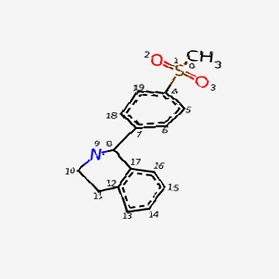 CS(=O)(=O)c1ccc(C2[N]CCc3ccccc32)cc1